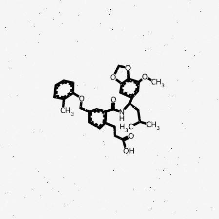 COc1cc(C(CC(C)C)NC(=O)c2cc(COc3ccccc3C)ccc2CCC(=O)O)cc2c1OCO2